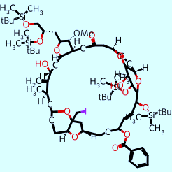 C=C1[C@H](C)CC2CC[C@@H]3O[C@@H](CCC(OC(=O)c4ccccc4)/C=C/C(O[Si](C)(C)C(C)(C)C)C4O[C@H]5CC[C@H](CC(=O)C[C@H]6[C@H](C[C@H]1O)OC(C[C@@H](CO[Si](C)(C)C(C)(C)C)O[Si](C)(C)C(C)(C)C)[C@@H]6OC)OC5[C@H](O)C4O[Si](C)(C)C(C)(C)C)CC3(CI)O2